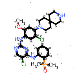 COc1cc(N2CCC3(CCNCC3)CC2)c(Cl)cc1Nc1ncc(Cl)c(Nc2ccccc2P(C)(C)=O)n1